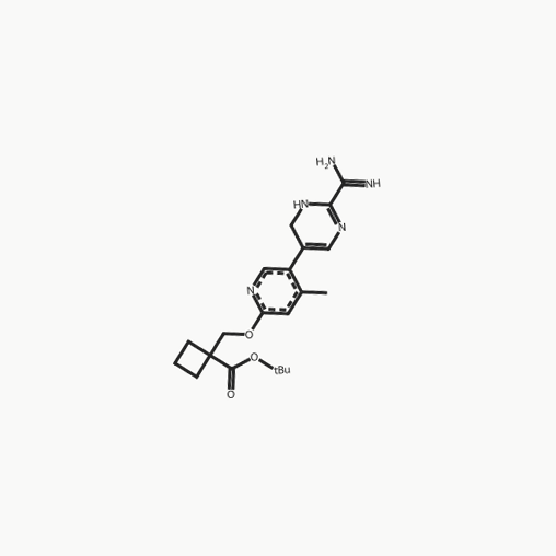 Cc1cc(OCC2(C(=O)OC(C)(C)C)CCC2)ncc1C1=CN=C(C(=N)N)NC1